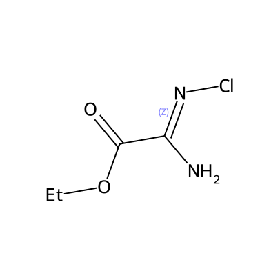 CCOC(=O)/C(N)=N/Cl